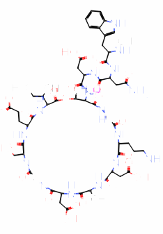 CCC(C)C1NC(=O)C(CCC(=O)O)NC(=O)C(CO)NC(=O)CNC(=O)C(CC(=O)O)NC(=O)C(C)NC(=O)C(CC(=O)O)NC(=O)C(CCCN)NC(=O)CNC(=O)C(NC(=O)C(CC(=O)O)NC(=O)C(CC(N)=O)NC(=O)C(Cc2c[nH]c3ccccc23)NC)C(C)OC1=O